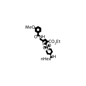 CCCCCCNC1CCN(S(=O)(=O)c2sc(CNC(=O)c3cccc(OC)c3)cc2C(=O)OCC)CC1